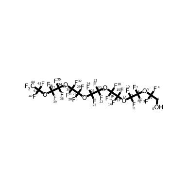 OCC(F)(F)OC(F)(F)C(F)(F)OC(F)(F)C(F)(F)OC(F)(F)C(F)(F)OC(F)(F)C(F)(F)OC(F)(F)C(F)(F)OC(F)(F)C(F)(F)F